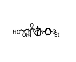 CCOc1ccc(N2CC3CN(C(=O)NCC(O)CO)CC2C(C)(C)C3)cc1